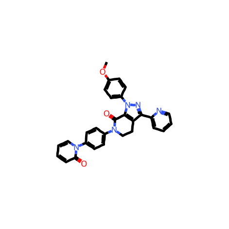 COc1ccc(-n2nc(-c3ccccn3)c3c2C(=O)N(c2ccc(-n4ccccc4=O)cc2)CC3)cc1